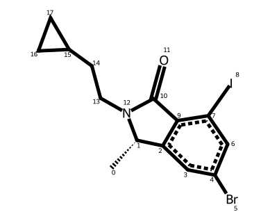 C[C@H]1c2cc(Br)cc(I)c2C(=O)N1CCC1CC1